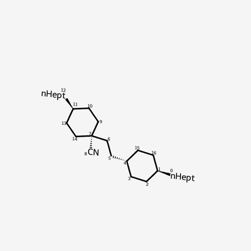 CCCCCCC[C@H]1CC[C@H](CC[C@]2(C#N)CC[C@H](CCCCCCC)CC2)CC1